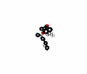 CC1(C)c2ccccc2C2(c3ccccc3-c3ccccc32)c2ccc(N(c3ccccc3)c3ccc(-c4ccc5c(c4)oc4ccccc45)cc3)cc21